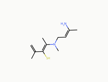 C=C(C)/C(S)=C(\C)N(C)C/C=C(/C)N